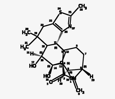 C=C1C(=O)[C@@]23C(CC[C@H]1[C@H]2O)[C@@]12CO[C@]3(O)[C@@H](O)C1C(C)(C)Cc1sc(C)nc12